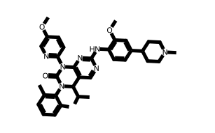 COc1ccc(N2C(=O)N(c3c(C)cccc3C)C(C(C)C)c3cnc(Nc4ccc(C5CCN(C)CC5)cc4OC)nc32)nc1